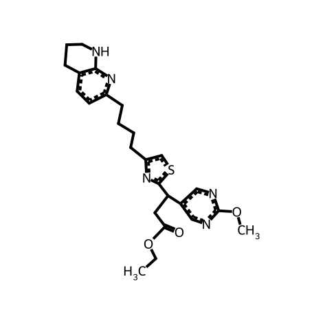 CCOC(=O)CC(c1cnc(OC)nc1)c1nc(CCCCc2ccc3c(n2)NCCC3)cs1